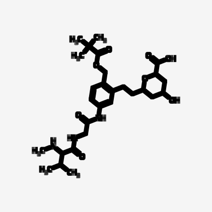 CNC(C(=O)NCC(=O)Nc1ccc(COC(=O)C(C)(C)C)c(CCC2CC(O)CC(C(=O)O)O2)c1)C(C)C